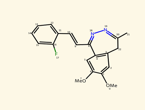 COc1cc2c(cc1OC)C(C=Cc1ccccc1F)=NN=C(C)C2